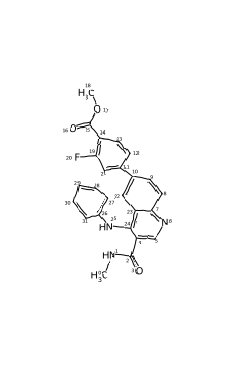 CNC(=O)c1cnc2ccc(-c3ccc(C(=O)OC)c(F)c3)cc2c1Nc1ccccc1